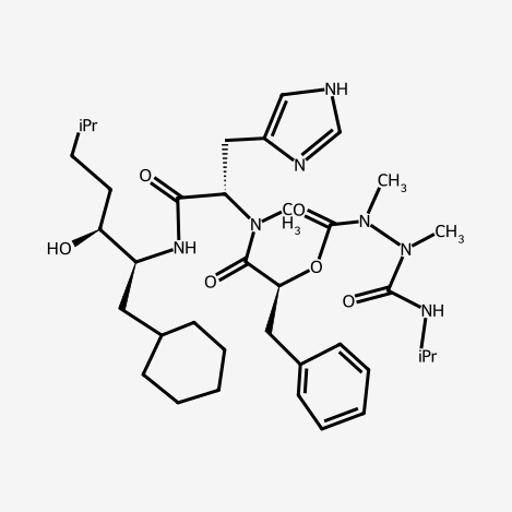 CC(C)CC[C@H](O)[C@H](CC1CCCCC1)NC(=O)[C@H](Cc1c[nH]cn1)N(C)C(=O)[C@H](Cc1ccccc1)OC(=O)N(C)N(C)C(=O)NC(C)C